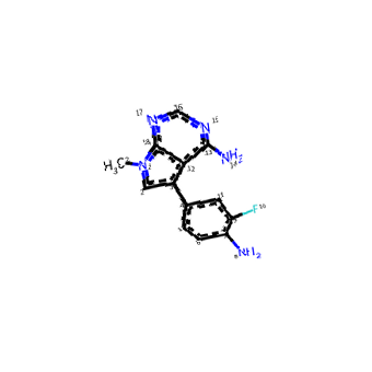 Cn1cc(-c2ccc(N)c(F)c2)c2c(N)ncnc21